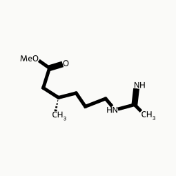 COC(=O)C[C@@H](C)CCCNC(C)=N